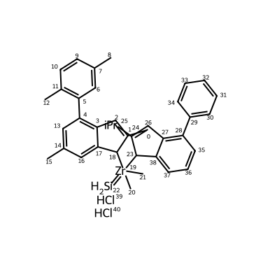 CC1=Cc2c(-c3cc(C)ccc3C)cc(C)cc2[CH]1[Zr]([CH3])([CH3])(=[SiH2])[CH]1C(C(C)C)=Cc2c(-c3ccccc3)cccc21.Cl.Cl